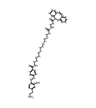 NCCc1ccc(/N=N/c2ccc(C(=O)NCCOCCOCCOCCOCCC(=O)NCCC(=O)N3Cc4ccccc4/C=C\c4ccccc43)cc2)c(O)c1